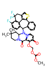 COC(=O)OCOc1c2n(ccc1=O)N(C1c3ccccc3-c3scc4c3-c3c1ccc(F)c3C(F)(F)C4)C1CC(C)(C)CCN1C2=O